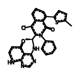 Cc1ccc(-c2cccc3c(Cl)c([C@H](C)Nc4ncnc5[nH]ccc(=O)c45)n(-c4ccccc4)c(=O)c23)s1